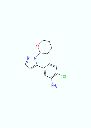 Nc1cc(-c2ccnn2C2CCCCO2)ccc1Cl